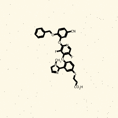 CN1CC=NC1c1cc(SCCC(=O)O)ccc1Oc1c(F)cnc(Oc2cc(C#N)ccc2OCc2ccccc2)c1F